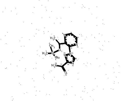 CC(O[Si](C)(C)C(C)(C)C)c1nccnc1-n1cnc(C(N)=O)n1